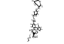 CSCC[C@H](NC(=O)c1ccc(COCc2cccc(OCC3CCCCC3)c2)cc1-c1ccccc1C)C(=O)O